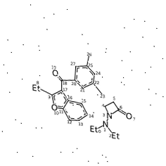 CCN(CC)N1CCC1=O.CCc1oc2ccccc2c1C(=O)c1cc(C)cc(C)c1